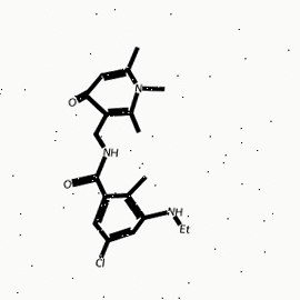 CCNc1cc(Cl)cc(C(=O)NCc2c(C)n(C)c(C)cc2=O)c1C